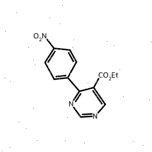 CCOC(=O)c1cncnc1-c1ccc([N+](=O)[O-])cc1